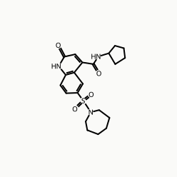 O=C(NC1CCCC1)c1cc(=O)[nH]c2ccc(S(=O)(=O)N3CCCCCC3)cc12